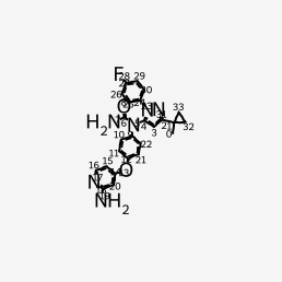 CC1(c2cc(N(C(N)=O)c3ccc(Oc4ccnc(N)c4)cc3)n(-c3ccc(F)cc3)n2)CC1